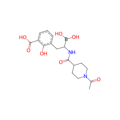 CC(=O)N1CCC(C(=O)NC(Cc2cccc(C(=O)O)c2O)B(O)O)CC1